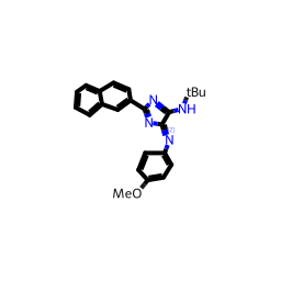 COc1ccc(/N=C2\N=C(c3ccc4ccccc4c3)N=C2NC(C)(C)C)cc1